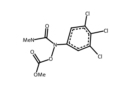 CNC(=O)N(OC(=O)OC)c1cc(Cl)c(Cl)c(Cl)c1